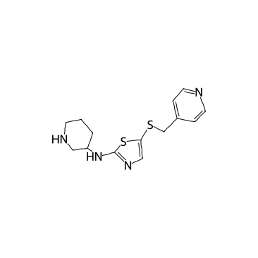 c1cc(CSc2cnc(NC3CCCNC3)s2)ccn1